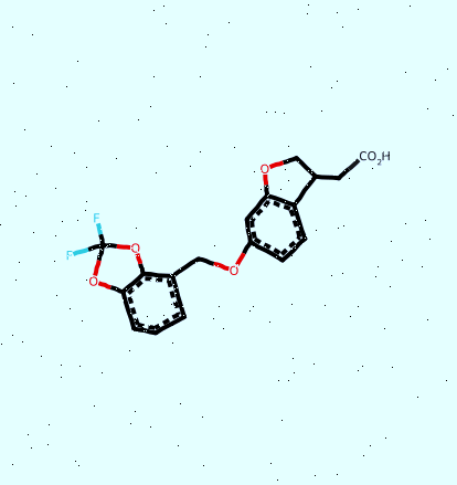 O=C(O)CC1COc2cc(OCc3cccc4c3OC(F)(F)O4)ccc21